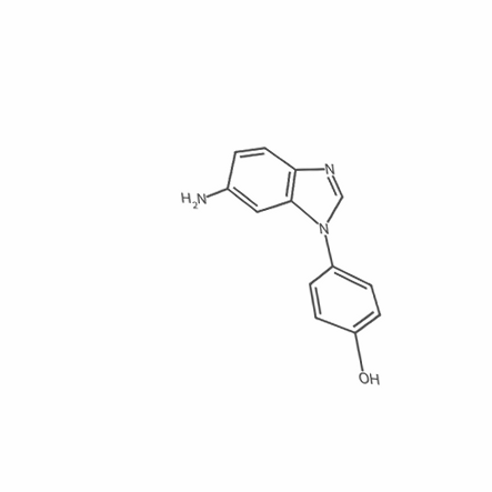 Nc1ccc2ncn(-c3ccc(O)cc3)c2c1